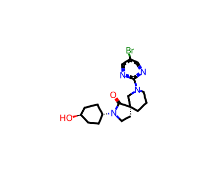 O=C1N([C@H]2CC[C@H](O)CC2)CC[C@]12CCCN(c1ncc(Br)cn1)C2